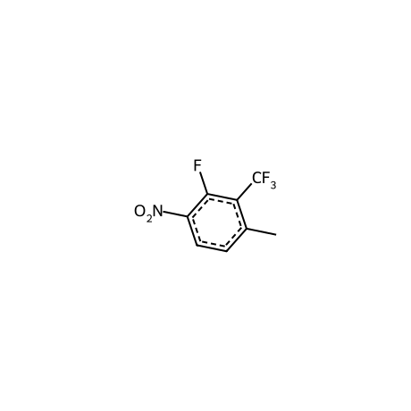 Cc1ccc([N+](=O)[O-])c(F)c1C(F)(F)F